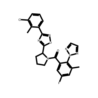 Cc1cc(F)cc(C(=O)N2CCCC2c2nc(-c3cccc(Cl)c3C)no2)c1-n1nccn1